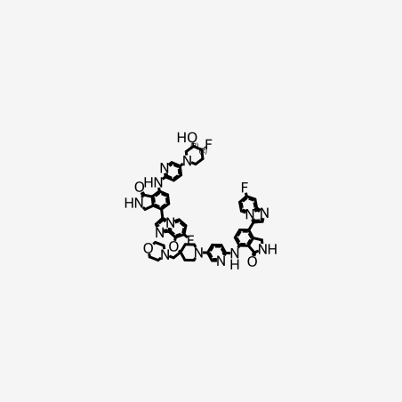 O=C1NCc2c(-c3cnc4cc(F)ccn34)ccc(Nc3ccc(N4CCC(CN5CCOCC5)(Oc5c(F)ccn6c(-c7ccc(Nc8ccc(N9CC[C@@H](F)[C@H](O)C9)cn8)c8c7CNC8=O)cnc56)CC4)cn3)c21